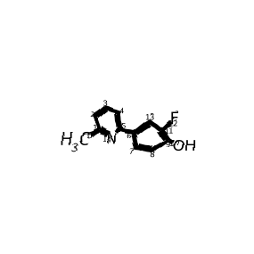 Cc1cccc(-c2ccc(O)c(F)c2)n1